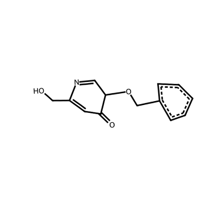 O=C1C=C(CO)N=CC1OCc1ccccc1